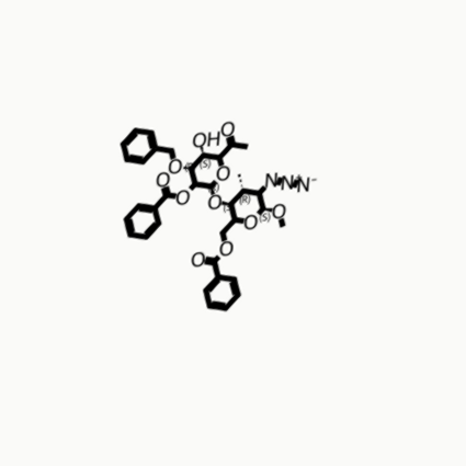 CO[C@H]1OC(COC(=O)c2ccccc2)[C@@H](O[C@@H]2OC(C(C)=O)[C@@H](O)[C@@H](OCc3ccccc3)C2OC(=O)c2ccccc2)[C@H](C)C1N=[N+]=[N-]